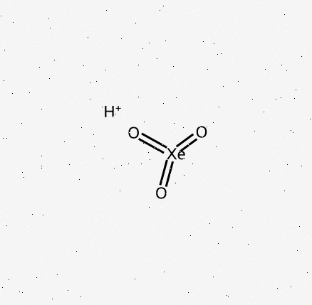 O=[Xe](=O)=O.[H+]